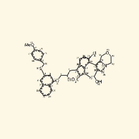 CCOC(=O)c1c(CCCOc2cc(SCc3ccc(OC)cc3)cc3ccccc23)c2ccc(Cl)c(-c3c(CO)nn4c3COCC4)c2n1C